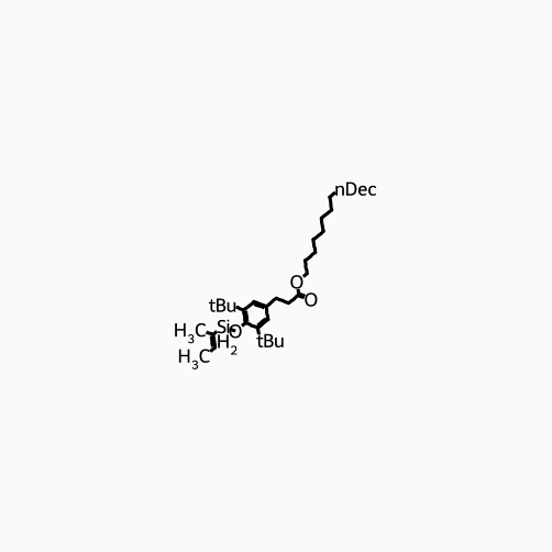 CC=C(C)[SiH2]Oc1c(C(C)(C)C)cc(CCC(=O)OCCCCCCCCCCCCCCCCCC)cc1C(C)(C)C